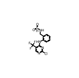 O=[SH](=O)NCc1ccccc1Nc1nc(Cl)ncc1C(F)(F)F